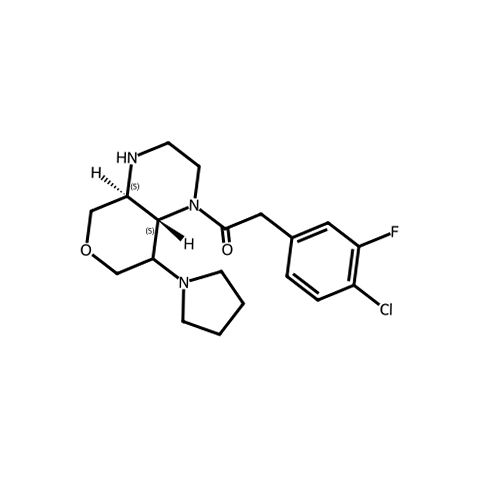 O=C(Cc1ccc(Cl)c(F)c1)N1CCN[C@@H]2COCC(N3CCCC3)[C@H]21